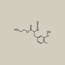 Cc1ccc(CC(N=C=O)C(=O)OCCO)cc1OC#N